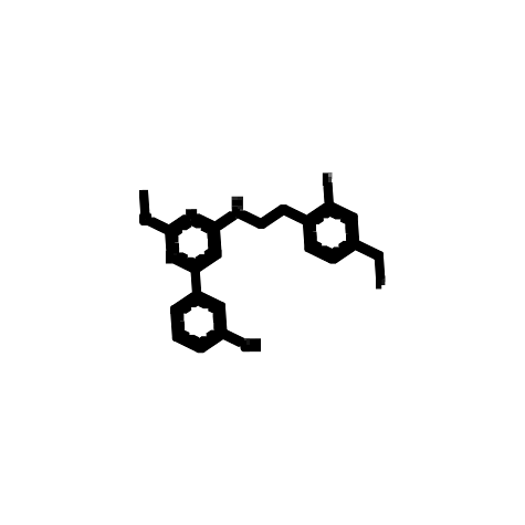 COc1nc(NCCc2ccc(CF)cc2F)cc(-c2cccc(O)c2)n1